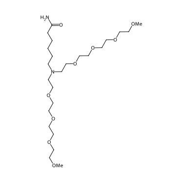 COCCOCCOCCOCCN(CCCCCC(N)=O)CCOCCOCCOCCOC